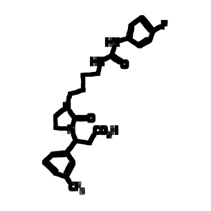 O=C(O)CC(c1cccc(C(F)(F)F)c1)N1CCN(CCCCNC(=O)Nc2ccc(F)cc2)C1=O